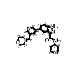 O=C(NC1CCNCC1)c1n[nH]c2ccc(-c3cncc(CN4CCOCC4)c3)cc12